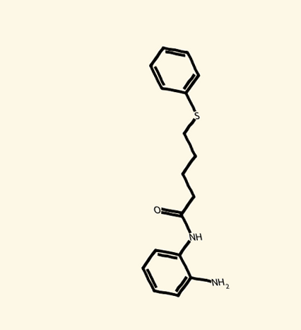 Nc1ccccc1NC(=O)CCCCSc1ccccc1